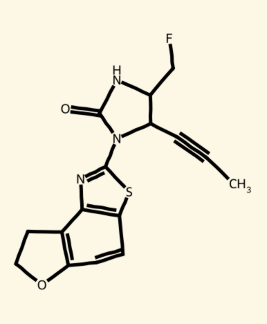 CC#CC1C(CF)NC(=O)N1c1nc2c3c(ccc2s1)OCC3